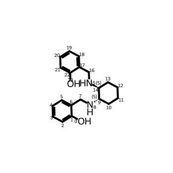 Oc1ccccc1CN[C@H]1CCCC[C@@H]1NCc1ccccc1O